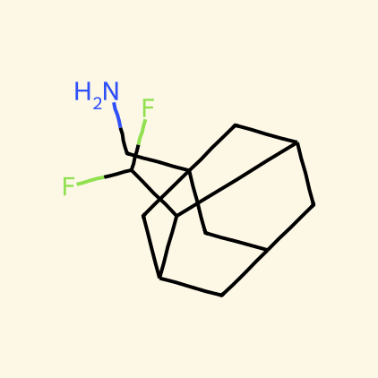 NCC12CC3CC(C1)C(C(F)F)C(C3)C2